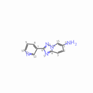 Nc1ccc2nc(-c3cccnc3)nn2c1